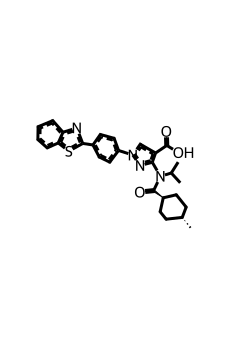 CC(C)N(c1nn(-c2ccc(-c3nc4ccccc4s3)cc2)cc1C(=O)O)C(=O)[C@H]1CC[C@H](C)CC1